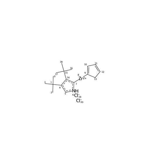 CC(C)(C)c1c[nH][c]([Zr+2][C]2=CC=CC2)c1C(C)(C)C.[Cl-].[Cl-]